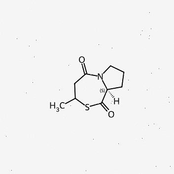 CC1CC(=O)N2CCC[C@H]2C(=O)S1